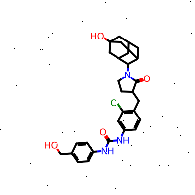 O=C(Nc1ccc(CO)cc1)Nc1ccc(CC2CCN(C3C4CC5CC3CC(O)(C5)C4)C2=O)c(Cl)c1